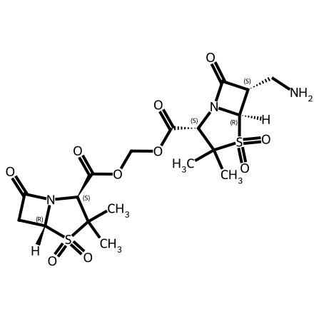 CC1(C)[C@H](C(=O)OCOC(=O)[C@@H]2N3C(=O)[C@H](CN)[C@H]3S(=O)(=O)C2(C)C)N2C(=O)C[C@H]2S1(=O)=O